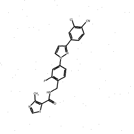 Cc1ncsc1C(=O)NCc1ccc(-n2ccc(-c3ccc(C#N)c(Cl)c3)n2)cc1F